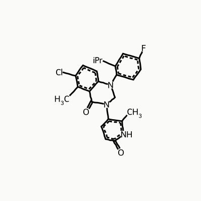 Cc1[nH]c(=O)ccc1N1CN(c2ccc(F)cc2C(C)C)c2ccc(Cl)c(C)c2C1=O